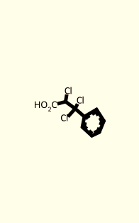 O=C(O)C(Cl)C(Cl)(Cl)c1ccccc1